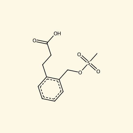 CS(=O)(=O)OCc1ccccc1CCC(=O)O